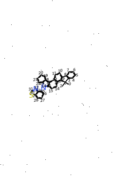 CC1(C)c2ccccc2-c2ccc3c(ccc4c3c3ccccc3n4-c3cccc4scnc34)c21